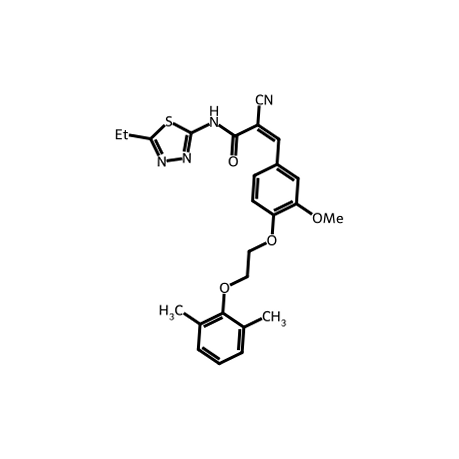 CCc1nnc(NC(=O)/C(C#N)=C\c2ccc(OCCOc3c(C)cccc3C)c(OC)c2)s1